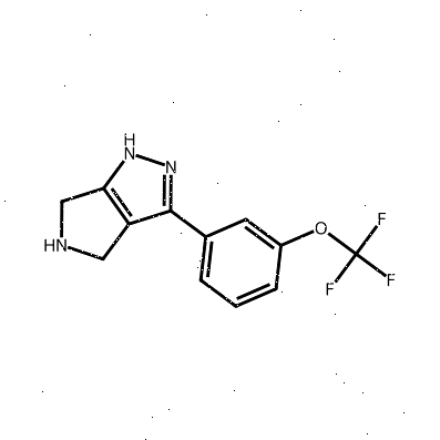 FC(F)(F)Oc1cccc(-c2n[nH]c3c2CNC3)c1